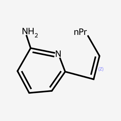 CCC/C=C\c1cccc(N)n1